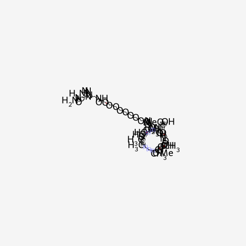 CO[C@H]1C[C@@H]2CC[C@@H](C)[C@@](O)(O2)C(=O)C(=O)N2CCCC[C@H]2C(=O)O[C@H]([C@H](N)C[C@@H]2CC[C@@H](O)[C@H](OC)C2)C/C(=N/OCc2cn(CCOCCOCCOCCOCCOCCOCCOCCOCCC(=O)NCCCCn3nc(-c4ccc5oc(N)nc5c4)c4c(N)ncnc43)nn2)[C@H](C)/C=C(\C)[C@@H](O)[C@@H](O)C(=O)[C@H](C)C[C@H](C)/C=C/C=C/C=C/1C